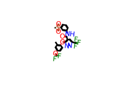 Cc1cc(OC(F)F)ccc1Oc1nnc(C(F)(F)F)cc1C(=O)Nc1cccc(S(C)(=O)=O)c1